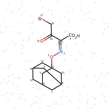 O=C(O)C(=NOC12CC3CC(CC(C3)C1)C2)C(=O)CBr